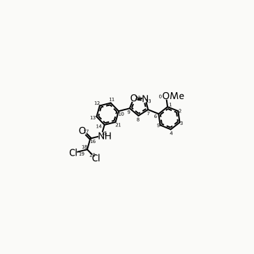 COc1ccccc1-c1cc(-c2cccc(NC(=O)C(Cl)Cl)c2)on1